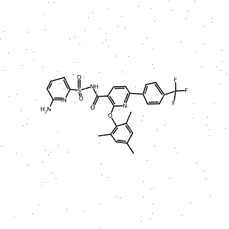 Cc1cc(C)c(Oc2nc(-c3ccc(C(F)(F)F)cc3)ccc2C(=O)NS(=O)(=O)c2cccc(N)n2)c(C)c1